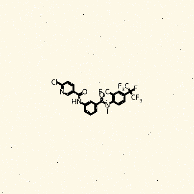 O=C(Nc1cccc(C(=O)N(I)c2ccc(C(F)(C(F)(F)F)C(F)(F)F)cc2C(F)(F)F)c1)c1ccc(Cl)nc1